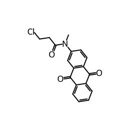 CN(C(=O)CCCl)c1ccc2c(c1)C(=O)c1ccccc1C2=O